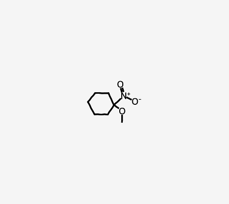 COC1([N+](=O)[O-])CCCCC1